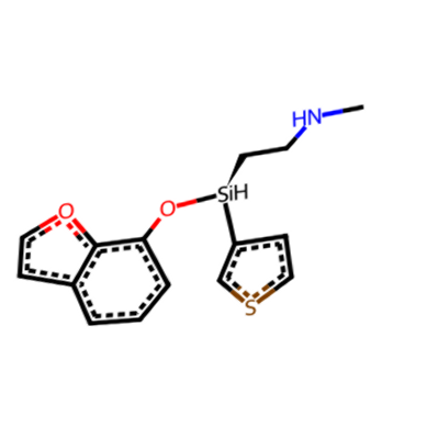 CNCC[Si@H](Oc1cccc2ccoc12)c1ccsc1